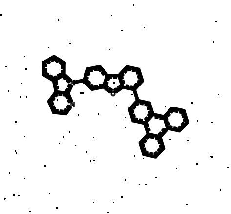 c1cc(-c2ccc3c4ccccc4c4ccccc4c3c2)c2oc3cc(-n4c5ccccc5c5cccnc54)ccc3c2c1